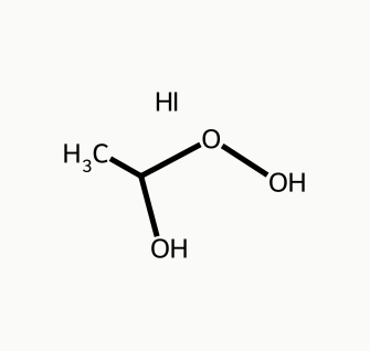 CC(O)OO.I